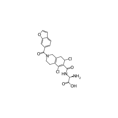 N[C@H](NC(=O)C1=C(Cl)C2=C(CC1Cl)CN(C(=O)c1ccc3ccoc3c1)CC2)C(=O)O